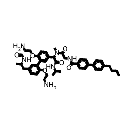 CCCCc1ccc(-c2ccc(C(=O)NCC(=O)N(C)C(C(=O)NC(C)C)c3ccc(OCCN)c(-c4cc(CC(C)NC=O)ccc4OCCN)c3)cc2)cc1